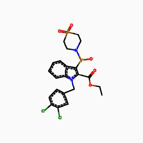 CCOC(=O)c1c([S+]([O-])N2CCS(=O)(=O)CC2)c2ccccc2n1Cc1ccc(Cl)c(Cl)c1